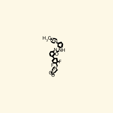 CN1CCN(c2cccc(Nc3nc4cccc(-c5cc(F)c(CN6CCS(=O)(=O)CC6)c(F)c5)c4o3)c2)CC1